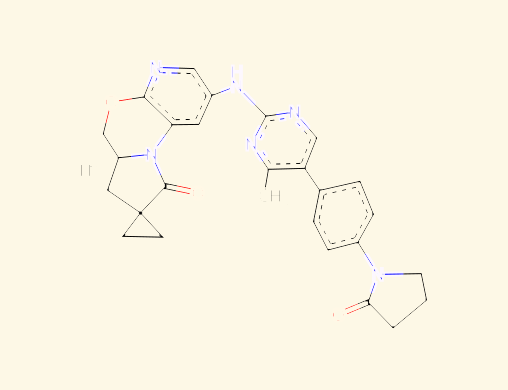 Cc1nc(Nc2cnc3c(c2)N2C(=O)C4(CC4)C[C@H]2CO3)ncc1-c1ccc(N2CCCC2=O)cc1